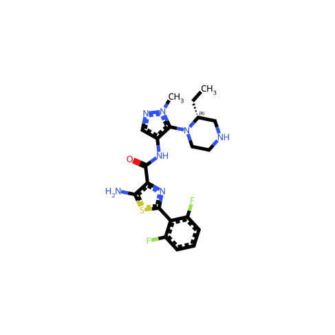 CC[C@@H]1CNCCN1c1c(NC(=O)c2nc(-c3c(F)cccc3F)sc2N)cnn1C